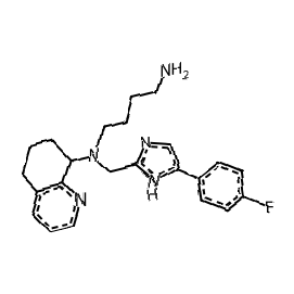 NCCCCN(Cc1ncc(-c2ccc(F)cc2)[nH]1)C1CCCc2cccnc21